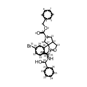 O=C(OCc1ccccc1)N1CC2CON(C(=S)NC(O)c3ccccc3)C2(c2cc(Br)ccc2F)C1